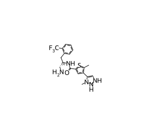 Cc1sc(C(=O)N[C@H](CN)Cc2ccccc2C(F)(F)F)cc1C1=CNNN1C